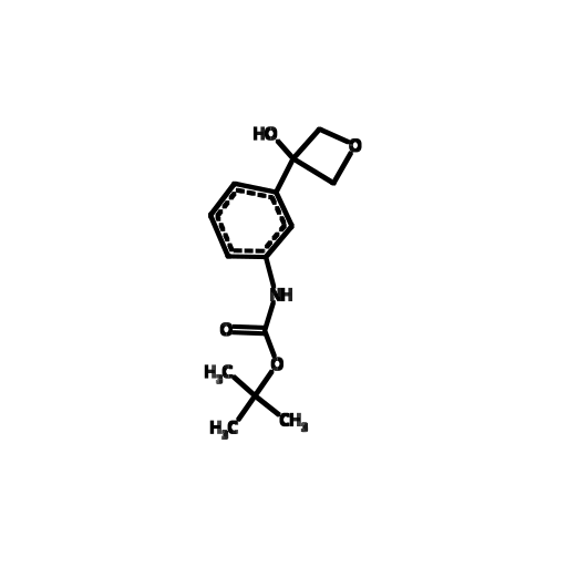 CC(C)(C)OC(=O)Nc1cccc(C2(O)COC2)c1